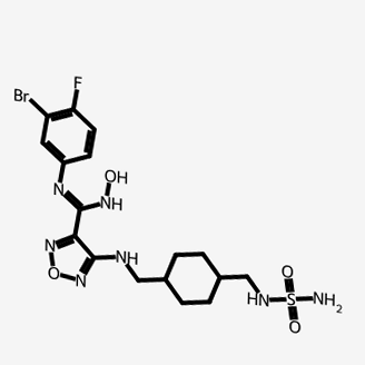 NS(=O)(=O)NCC1CCC(CNc2nonc2C(=Nc2ccc(F)c(Br)c2)NO)CC1